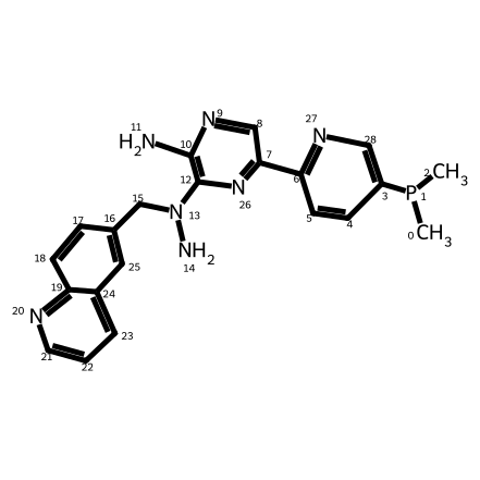 CP(C)c1ccc(-c2cnc(N)c(N(N)Cc3ccc4ncccc4c3)n2)nc1